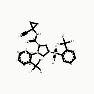 N#CC1(NC(=O)[C@H]2C[C@@H](S(=O)(=O)c3ccccc3C(F)(F)F)CN2c2ncccc2C(F)(F)F)CC1